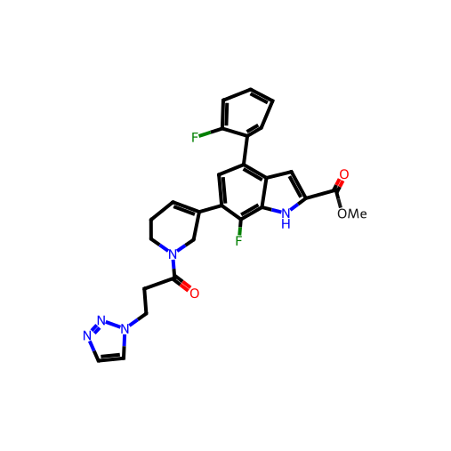 COC(=O)c1cc2c(-c3ccccc3F)cc(C3=CCCN(C(=O)CCn4ccnn4)C3)c(F)c2[nH]1